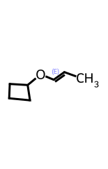 C/C=C/OC1CCC1